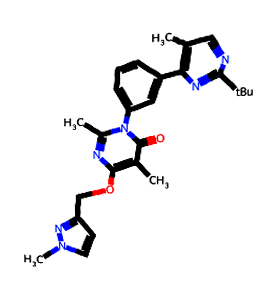 Cc1cnc(C(C)(C)C)nc1-c1cccc(-n2c(C)nc(OCc3ccn(C)n3)c(C)c2=O)c1